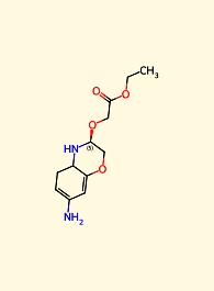 CCOC(=O)CO[C@H]1COC2=CC(N)=CCC2N1